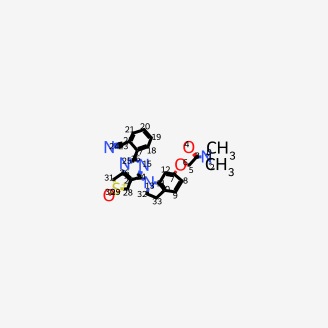 CN(C)C(=O)COc1ccc2c(c1)N(c1nc(-c3ccccc3C#N)nc3c1C[S+]([O-])C3)CC2